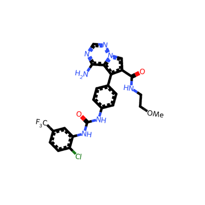 COCCNC(=O)c1cn2ncnc(N)c2c1-c1ccc(NC(=O)Nc2cc(C(F)(F)F)ccc2Cl)cc1